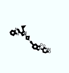 O=C1CCC(N2Cc3ccc(C#C[C@H]4C[C@H](n5cc(-c6cnc7ccccc7n6)c(C6CC6)n5)C4)cc3C2=O)C(=O)N1